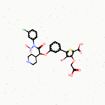 O=C(O)COc1c(C(=O)O)sc(-c2cccc(OC(C(=O)N(c3cccc(Cl)c3)[N+](=O)[O-])C3CCNCC3)c2)c1Br